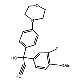 C#CC(O)(c1ccc(N2CCOCC2)cc1)c1ccc(OC)c(F)c1